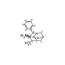 CC1C2CC3CC(C2)C(c2ccccc2)[C@]1(N)C3